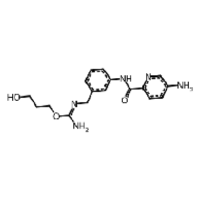 N/C(=N\Cc1cccc(NC(=O)c2ccc(N)cn2)c1)OCCCO